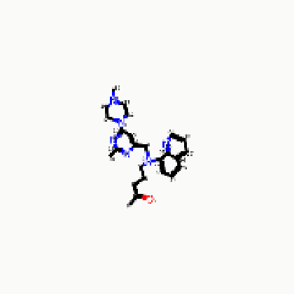 CC(=O)CCCN(Cc1cc(N2CCN(C)CC2)nc(C)n1)c1cccc2cccnc12